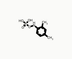 Cc1ccc(NOP(=O)(O)O)c(C)c1